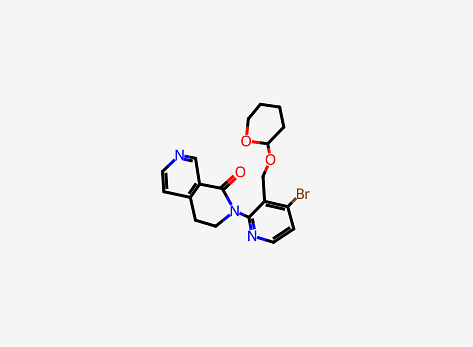 O=C1c2cnccc2CCN1c1nccc(Br)c1COC1CCCCO1